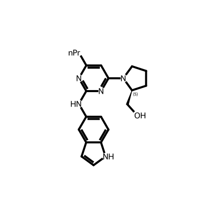 CCCc1cc(N2CCC[C@H]2CO)nc(Nc2ccc3[nH]ccc3c2)n1